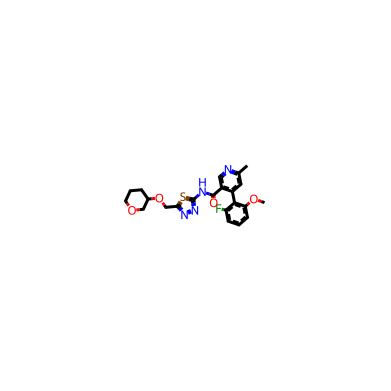 COc1cccc(F)c1-c1cc(C)ncc1C(=O)Nc1nnc(COC2CCCOC2)s1